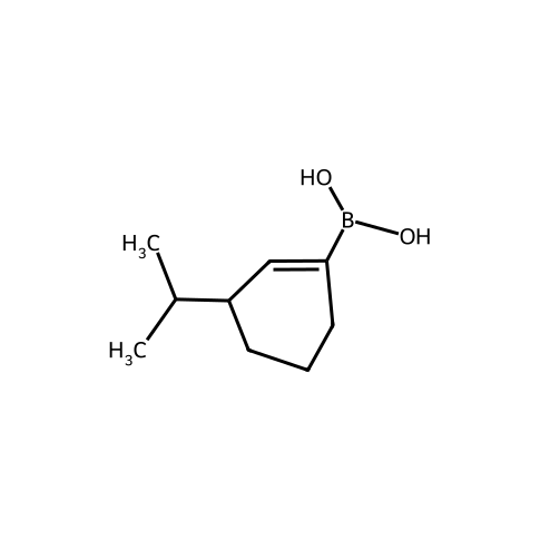 CC(C)C1C=C(B(O)O)CCC1